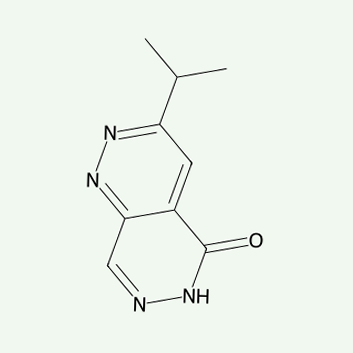 CC(C)c1cc2c(=O)[nH]ncc2nn1